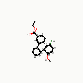 CCOC(=O)c1cccc(-c2ccccc2-c2cc(F)ccc2OC)c1